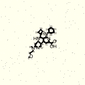 COCCN(C)c1ccc(-c2cc(C(=O)O)nc(Nc3ccccc3)c2C(=N)C2CCC2)cn1